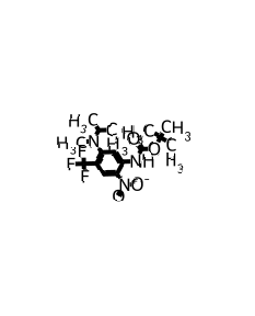 CC(C)N(C)c1cc(NC(=O)OC(C)(C)C)c([N+](=O)[O-])cc1C(F)(F)F